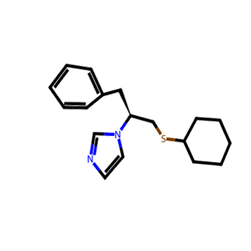 c1ccc(C[C@@H](CSC2CCCCC2)n2ccnc2)cc1